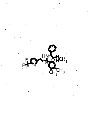 CNC(=O)[C@@H](N[C@H](CCc1ccc(C(F)(F)F)nc1)c1ccc(C)c(C)c1)c1ccccc1